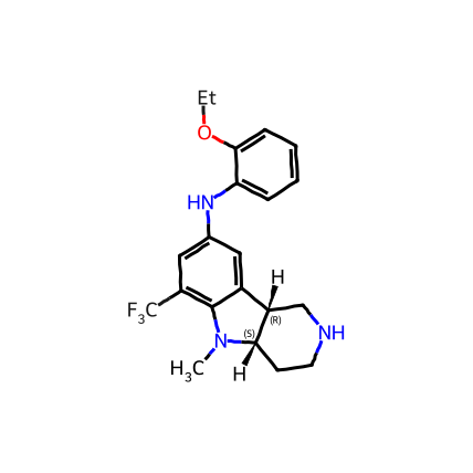 CCOc1ccccc1Nc1cc2c(c(C(F)(F)F)c1)N(C)[C@H]1CCNC[C@@H]21